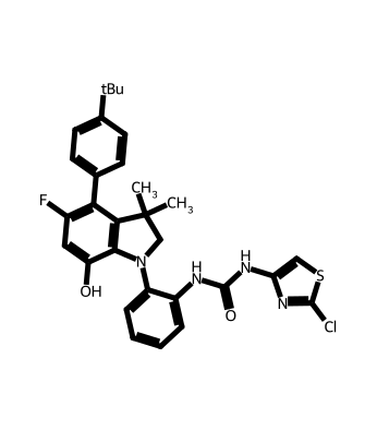 CC(C)(C)c1ccc(-c2c(F)cc(O)c3c2C(C)(C)CN3c2ccccc2NC(=O)Nc2csc(Cl)n2)cc1